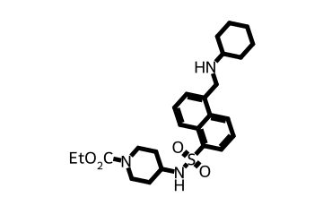 CCOC(=O)N1CCC(NS(=O)(=O)c2cccc3c(CNC4CCCCC4)cccc23)CC1